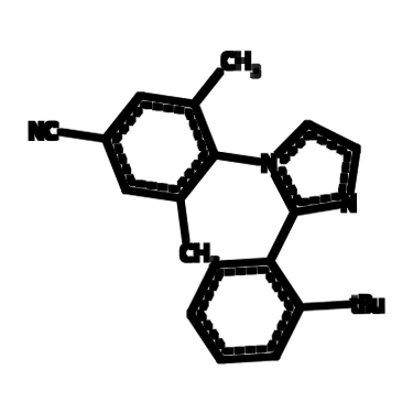 Cc1cc(C#N)cc(C)c1-n1ccnc1-c1ccccc1C(C)(C)C